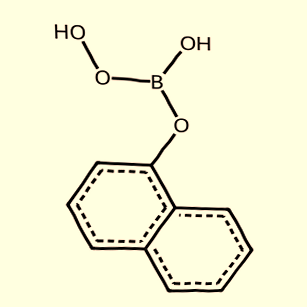 OOB(O)Oc1cccc2ccccc12